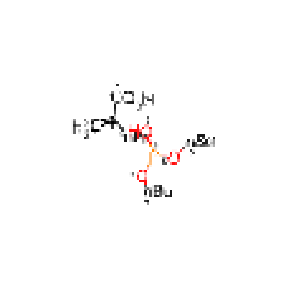 C=C(CCC)C(=O)O.CCCCOP(O)OCCCC